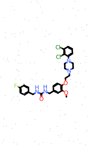 COc1cc(CNC(=O)NCc2ccc(F)cc2)ccc1OCCN1CCN(c2cccc(Cl)c2Cl)CC1